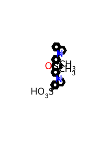 C[Si]1(C)c2cc(N3CCCc4ccccc43)ccc2C(=O)c2ccc(N3CCCc4cc(S(=O)(=O)O)ccc43)cc21